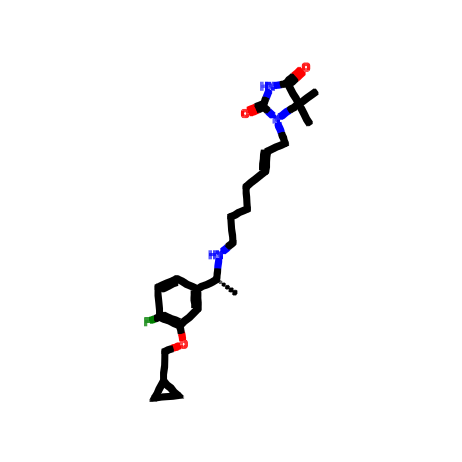 C[C@@H](NCCCC/C=C/CN1C(=O)NC(=O)C1(C)C)c1ccc(F)c(OCC2CC2)c1